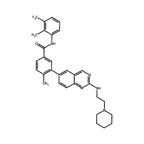 Cc1ccc(C(=O)Nc2cccc(C(F)(F)F)c2C)cc1-c1ccc2nc(NCCN3CCCCC3)ncc2c1